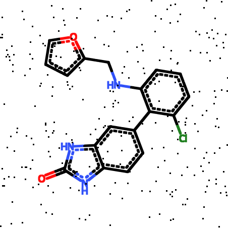 O=c1[nH]c2ccc(-c3c(Cl)cccc3NCc3ccco3)cc2[nH]1